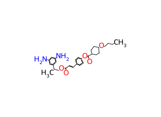 CCCCOC1CCC(C(=O)Oc2ccc(/C=C/C(=O)OCC(C)c3cc(N)cc(N)c3)cc2)CC1